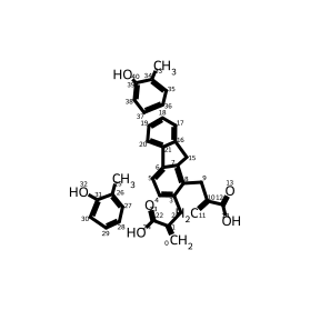 C=C(Cc1ccc2c(c1CC(=C)C(=O)O)Cc1ccccc1-2)C(=O)O.Cc1ccccc1O.Cc1ccccc1O